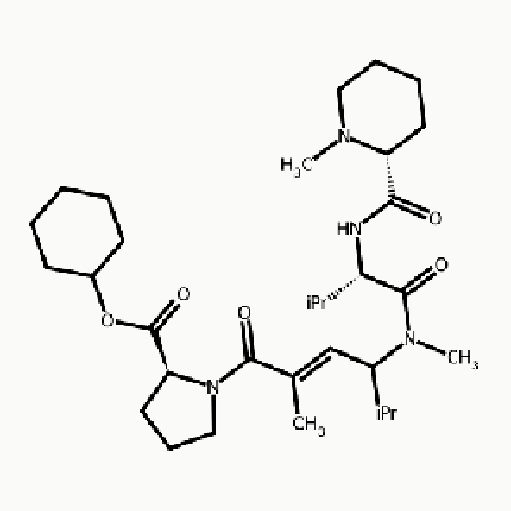 C/C(=C\C(C(C)C)N(C)C(=O)[C@@H](NC(=O)[C@H]1CCCCN1C)C(C)C)C(=O)N1CCC[C@H]1C(=O)OC1CCCCC1